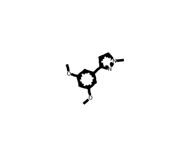 COc1cc(OC)cc(-c2ccn(C)n2)c1